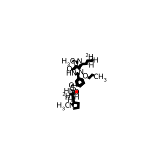 [2H]C([2H])([2H])CCc1nn(C)c2c(=O)[nH]c(-c3cc(S(=O)(=O)NC([2H])([2H])C([2H])([2H])C4CCCN4C)ccc3OCCC)nc12